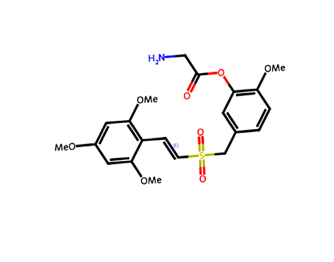 COc1cc(OC)c(/C=C/S(=O)(=O)Cc2ccc(OC)c(OC(=O)CN)c2)c(OC)c1